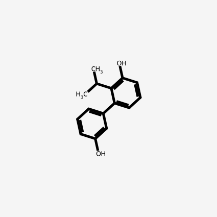 CC(C)c1c(O)cccc1-c1cccc(O)c1